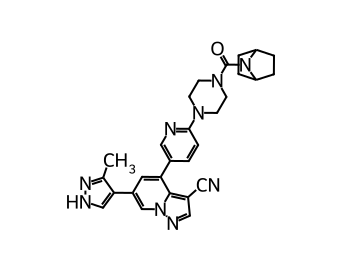 Cc1n[nH]cc1-c1cc(-c2ccc(N3CCN(C(=O)N4C5CCC4CC5)CC3)nc2)c2c(C#N)cnn2c1